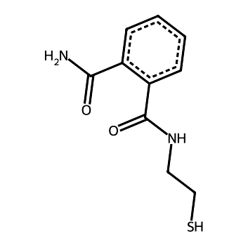 NC(=O)c1ccccc1C(=O)NCCS